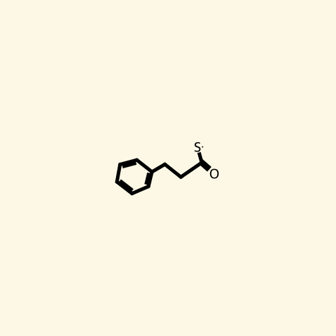 O=C([S])CCc1ccccc1